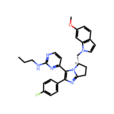 CCCNc1nccc(-c2c(-c3ccc(F)cc3)nc3n2[C@H](Cn2ccc4ccc(OC)cc42)CC3)n1